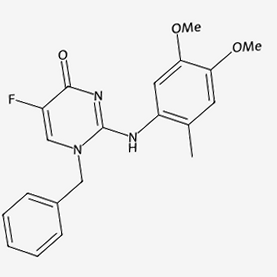 COc1cc(C)c(Nc2nc(=O)c(F)cn2Cc2ccccc2)cc1OC